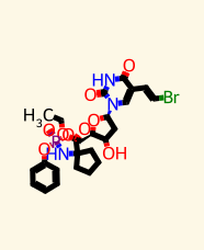 CCOC(=O)C1(NP(=O)(OC[C@H]2O[C@@H](n3cc(/C=C/Br)c(=O)[nH]c3=O)CC2O)Oc2ccccc2)CCCC1